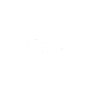 COC(=O)[C@@H](C)Oc1ccc(CBr)cc1